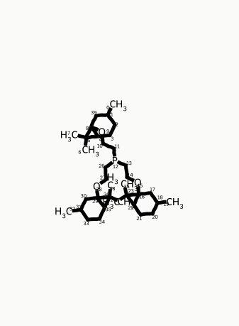 CC1CCC2C(C)(C)C2(OCCP(CCOC23CC(C)CCC2C3(C)C)CCOC23CC(C)CCC2C3(C)C)C1